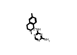 Cc1ccc2c(c1)CC[C@H](C)[C@H]2Nc1ncnc(N)n1